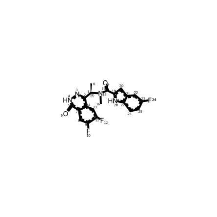 C[C@H](c1n[nH]c(=O)c2cc(F)c(F)cc12)N(C)C(=O)c1cc2cc(F)ccc2[nH]1